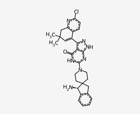 CC1(C)C=C(c2n[nH]c3nc(N4CCC5(CC4)Cc4ccccc4[C@H]5N)[nH]c(=O)c23)c2ccc(Cl)nc2C1